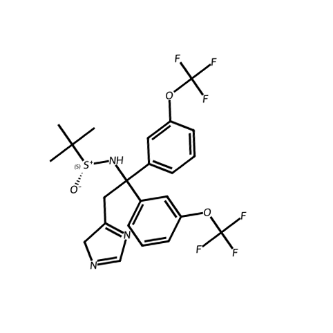 CC(C)(C)[S@@+]([O-])NC(CC1=NC=NC1)(c1cccc(OC(F)(F)F)c1)c1cccc(OC(F)(F)F)c1